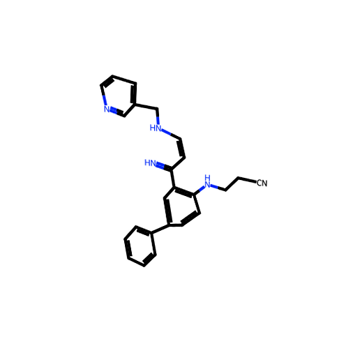 N#CCCNc1ccc(-c2ccccc2)cc1C(=N)/C=C\NCc1cccnc1